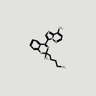 CCCCCC1(C)N=C(c2cnc3c(C)ccnn23)c2ccccc2O1